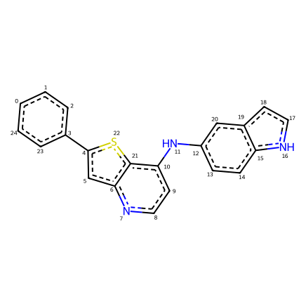 c1ccc(-c2cc3nccc(Nc4ccc5[nH]ccc5c4)c3s2)cc1